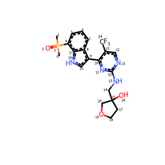 CP(C)(=O)c1cccc2c(-c3nc(NCC4(O)CCOC4)ncc3C(F)(F)F)c[nH]c12